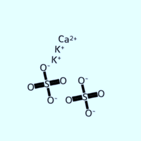 O=S(=O)([O-])[O-].O=S(=O)([O-])[O-].[Ca+2].[K+].[K+]